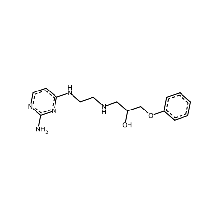 Nc1nccc(NCCNCC(O)COc2ccccc2)n1